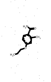 CCCOc1ccc(C(N)=O)c(C)c1